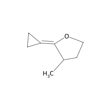 CC1CCOC1=C1CC1